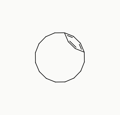 c1cc2ccc1CCCCCCCCCCCC2